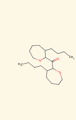 CCCCC1CCCCOC1C(=O)C1OCCCCC1CCCC